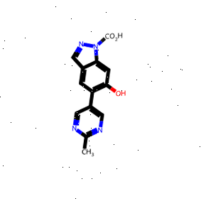 Cc1ncc(-c2cc3cnn(C(=O)O)c3cc2O)cn1